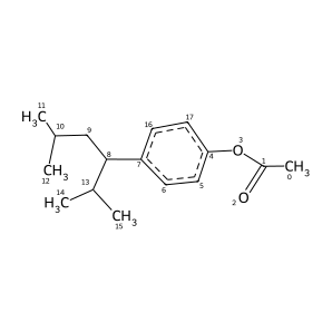 CC(=O)Oc1ccc(C(CC(C)C)C(C)C)cc1